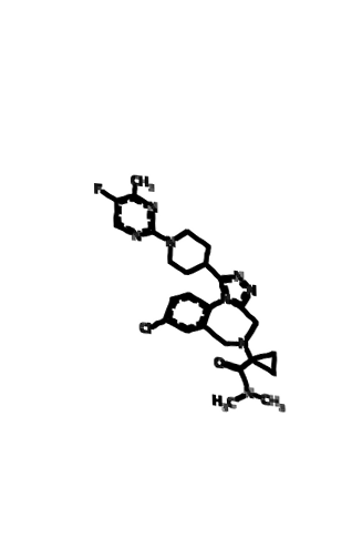 Cc1nc(N2CCC(c3nnc4n3-c3ccc(Cl)cc3CN(C3(C(=O)N(C)C)CC3)C4)CC2)ncc1F